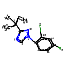 CC(C)(C)c1ncn(-c2ccc(F)cc2F)n1